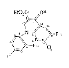 CCOC(=O)c1cn(-c2ccc(F)cc2F)c2nc(Cl)c(F)cc2c1=O